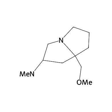 CNC1CN2CCCC2(COC)C1